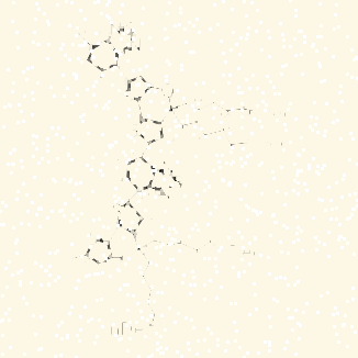 CCCCCCCCCCCCCCCC1(CCCCCCCCCCCCCCC)Oc2cc(C)sc2-c2sc(-c3ccc(-c4cc5c(s4)-c4sc(-c6ccc(C)c7nsnc67)cc4OC5(CCCCCCCCCCCCCCC)CCCCCCCCCCCCCCC)c4nsnc34)cc21